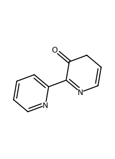 O=C1CC=CN=C1c1ccccn1